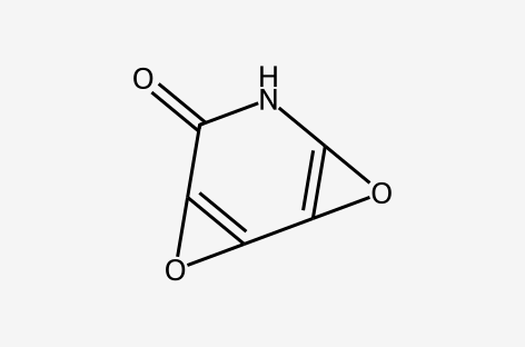 O=c1[nH]c2oc2c2oc12